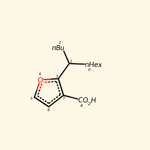 CCCCCCC(CCCC)c1occc1C(=O)O